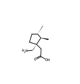 C[C@@H]1[C@@H](C)CC[C@]1(CN)CC(=O)O